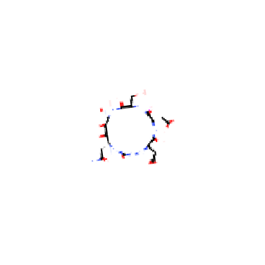 NC(=O)C[C@@H]1NC(=O)NNC(CC(=O)O)C(=O)N[C@@H](CC(=O)O)C(=O)NC(CO)C(=O)N[C@@H](CO)C(=O)C1=O